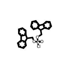 O=P(Cl)(OCC1c2ccccc2-c2ccccc21)OCC1c2ccccc2-c2ccccc21